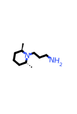 C[C@@H]1CCC[C@@H](C)N1CCCN